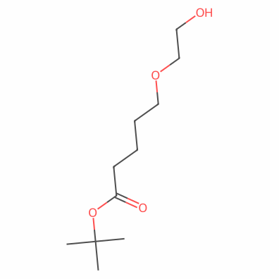 CC(C)(C)OC(=O)CCCCOCCO